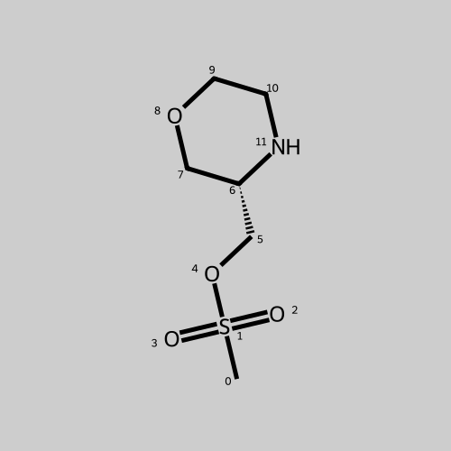 CS(=O)(=O)OC[C@@H]1COCCN1